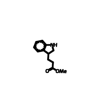 COC(=O)CCC1CNc2ccccc21